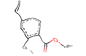 C=Cc1ccc(C(=O)OCCCC)c(C(F)(F)F)c1